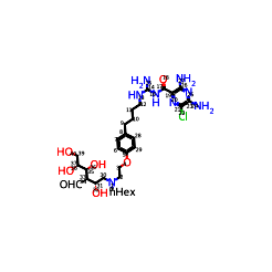 CCCCCCN(CCOc1ccc(CCCCNC(N)NC(=O)c2nc(Cl)c(N)nc2N)cc1)C[C@H](O)[C@@H](C=O)[C@H](O)[C@H](O)CO